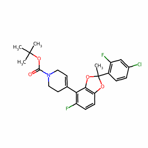 CC(C)(C)OC(=O)N1CC=C(c2c(F)ccc3c2OC(C)(c2ccc(Cl)cc2F)O3)CC1